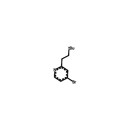 CC(C)(C)CCc1cc(Br)ccn1